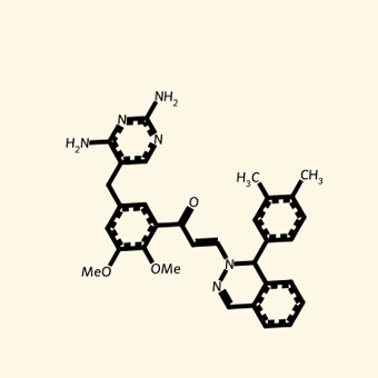 COc1cc(Cc2cnc(N)nc2N)cc(C(=O)/C=C/N2N=Cc3ccccc3C2c2ccc(C)c(C)c2)c1OC